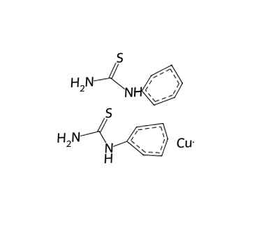 NC(=S)Nc1ccccc1.NC(=S)Nc1ccccc1.[Cu]